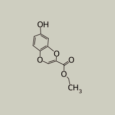 CCOC(=O)C1=COc2ccc(O)cc2O1